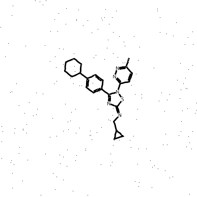 Cc1ccc(-n2sc(=NCC3CC3)nc2-c2ccc(C3CCCCC3)cc2)nn1